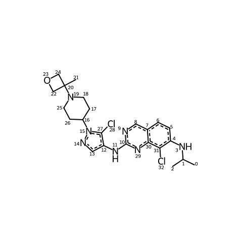 CC(C)Nc1ccc2cnc(Nc3cnn(C4CCN(C5(C)COC5)CC4)c3Cl)nc2c1Cl